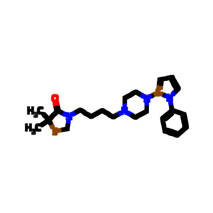 CC1(C)SCN(CCCCN2CCN(S3=CC=CN3c3ccccc3)CC2)C1=O